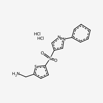 Cl.Cl.NCc1ccc(S(=O)(=O)c2cnn(-c3ccccc3)c2)s1